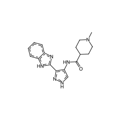 CN1CCC(C(=O)Nc2c[nH]nc2-c2nc3ccccc3[nH]2)CC1